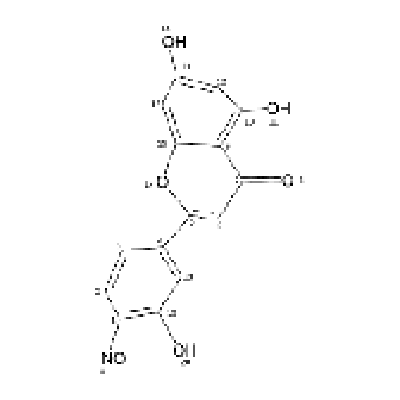 O=Nc1ccc(-c2cc(=O)c3c(O)cc(O)cc3o2)cc1O